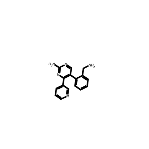 NCc1ccccc1-c1cnc(N)nc1-c1cccnc1